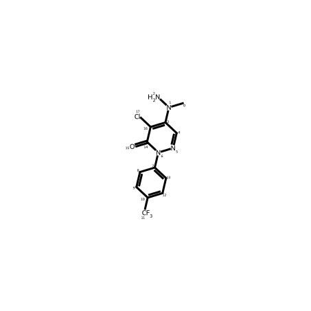 CN(N)c1cnn(-c2ccc(C(F)(F)F)cc2)c(=O)c1Cl